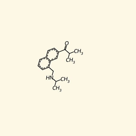 CC(C)NCc1cccc2ccc(C(=O)C(C)C)cc12